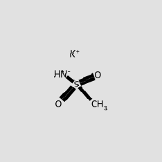 CS([NH-])(=O)=O.[K+]